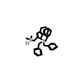 CC[Si](C)(C)CC1=CC2=C(CCCC2)[CH]1[Ti]([CH2]c1ccccc1)([CH2]c1ccccc1)[CH2]c1ccccc1